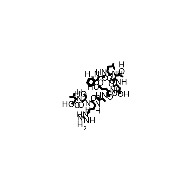 CC(C)CC(NC(=O)C(N)Cc1ccccc1)C(=O)NC(C(=O)NC(CC(=O)O)C(=O)NC(CCC(=O)O)C(=O)NC(C)C(=O)NC(CCCNC(=N)N)C(=O)NC(CO)C(=O)NC(C(=O)O)C(C)C)C(C)O